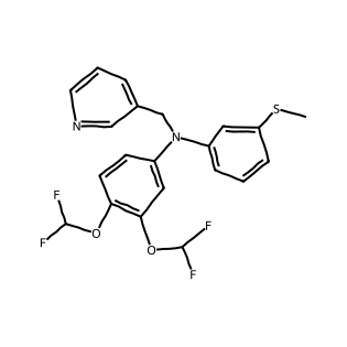 CSc1cccc(N(Cc2cccnc2)c2ccc(OC(F)F)c(OC(F)F)c2)c1